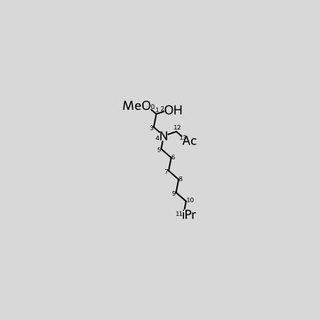 COC(O)CN(CCCCCCC(C)C)CC(C)=O